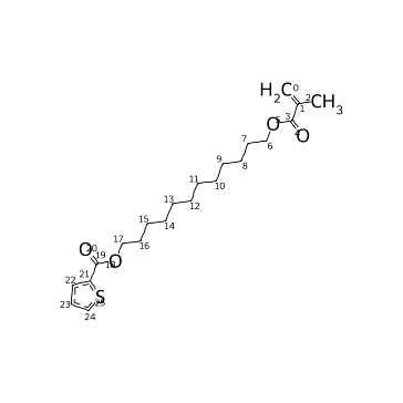 C=C(C)C(=O)OCCCCCCCCCCCCOC(=O)c1cccs1